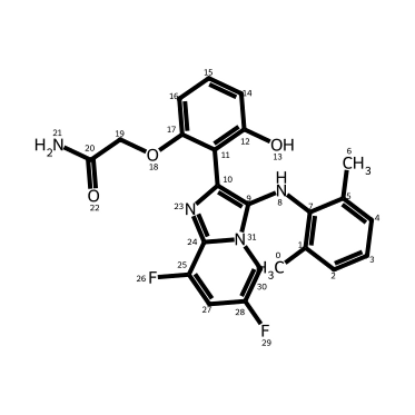 Cc1cccc(C)c1Nc1c(-c2c(O)cccc2OCC(N)=O)nc2c(F)cc(F)cn12